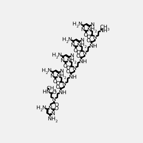 CNCCN(CC(=O)NCCN(CC(=O)NCCN(CC(=O)NCCN(CC(=O)NCCN(CC(=O)NC)C(=O)Cn1c(N)cc(N)nc1=O)C(=O)Cn1c(N)cc(N)nc1=O)C(=O)Cn1c(N)cc(N)nc1=O)C(=O)Cn1c(N)cc(N)nc1=O)C(=O)Cn1c(N)cc(N)nc1=O